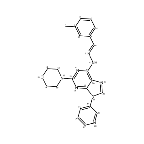 Cc1cccc(C=NNc2nc(N3CCOCC3)nc3c2ncn3-c2cccnc2)c1